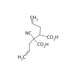 C=CCC(C(=O)O)C(C#N)(CC=C)C(=O)O